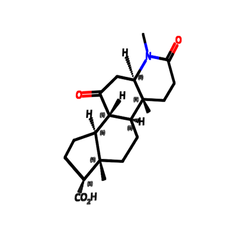 CN1C(=O)CC[C@]2(C)[C@H]3CC[C@]4(C)[C@@H](C(=O)O)CC[C@H]4[C@@H]3C(=O)C[C@@H]12